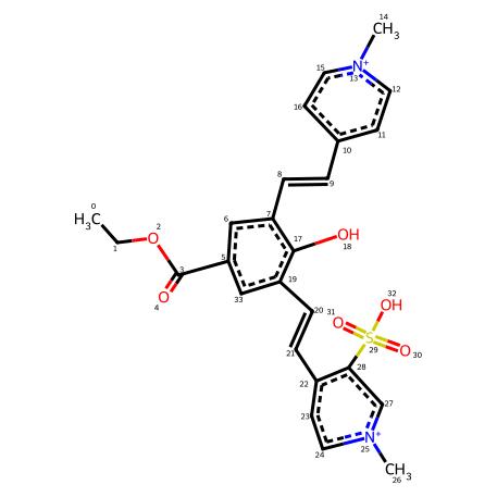 CCOC(=O)c1cc(/C=C/c2cc[n+](C)cc2)c(O)c(/C=C/c2cc[n+](C)cc2S(=O)(=O)O)c1